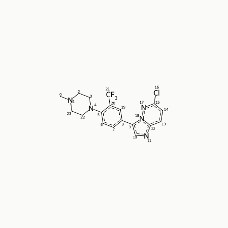 CN1CCN(c2ccc(-c3cnc4ccc(Cl)nn34)cc2C(F)(F)F)CC1